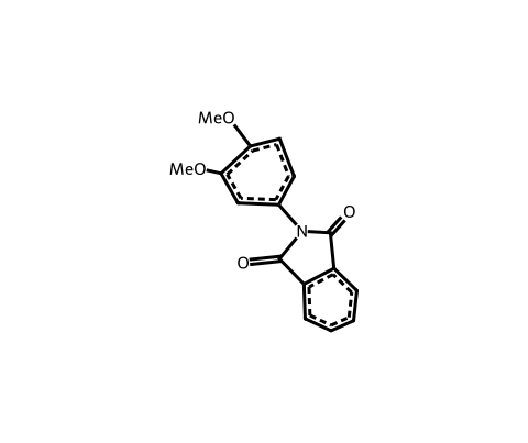 COc1ccc(N2C(=O)c3ccccc3C2=O)cc1OC